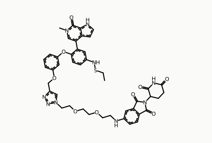 CCSNc1ccc(Oc2cccc(OCc3cn(CCOCCOCCNc4ccc5c(c4)C(=O)N(C4CCC(=O)NC4=O)C5=O)nn3)c2)c(-c2cn(C)c(=O)c3[nH]ccc23)c1